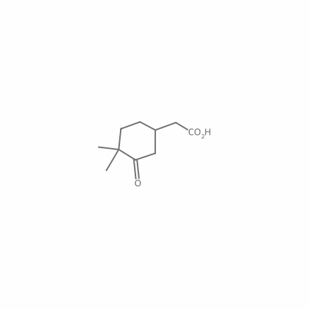 CC1(C)CCC(CC(=O)O)CC1=O